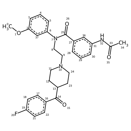 COc1cccc(N(CCN2CCC(C(=O)c3ccc(F)cc3)CC2)C(=O)c2cccc(NC(C)=O)c2)c1